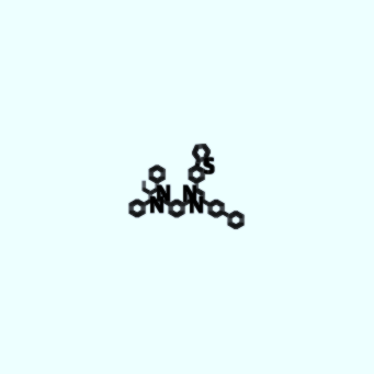 CCC1C(c2ccccc2)=NC(c2cccc(-c3nc(-c4ccc(-c5ccccc5)cc4)cc(-c4ccc5c(c4)sc4ccccc45)n3)c2)=NC1c1ccccc1